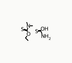 CCOC(=S)N(C)C.NC(O)=S